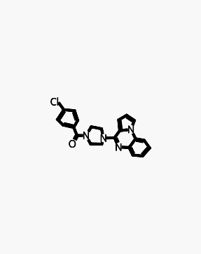 O=C(c1ccc(Cl)cc1)N1CCN(c2nc3ccccc3n3cccc23)CC1